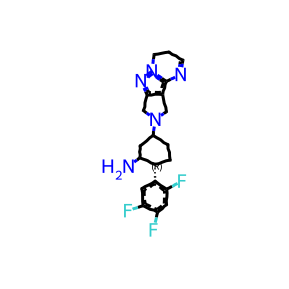 NC1CC(N2Cc3nn4c(c3C2)N=CCC4)CC[C@@H]1c1cc(F)c(F)cc1F